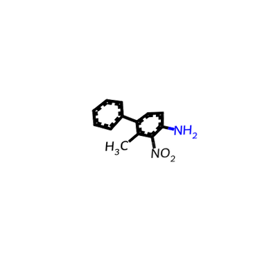 Cc1c(-c2ccccc2)ccc(N)c1[N+](=O)[O-]